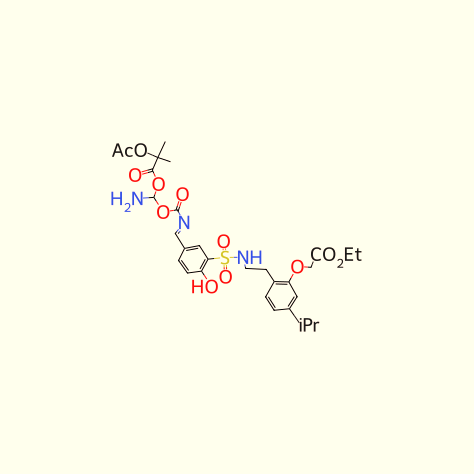 CCOC(=O)COc1cc(C(C)C)ccc1CCNS(=O)(=O)c1cc(C=NC(=O)OC(N)OC(=O)C(C)(C)OC(C)=O)ccc1O